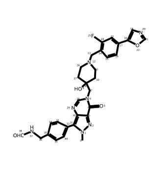 Cn1nc2c(=O)n(CC3(O)CCN(Cc4ccc(-c5cnco5)cc4F)CC3)cnc2c1-c1ccc(CNC=O)cc1